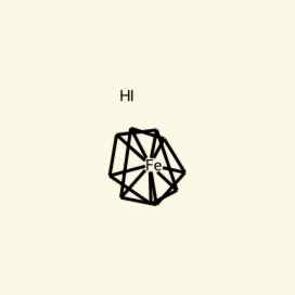 I.[CH]12[CH]3[CH]4[CH]5[CH]1[Fe]23451678[CH]2[CH]1[CH]6[CH]7[CH]28